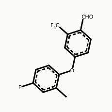 Cc1cc(F)ccc1Oc1ccc(C=O)c(C(F)(F)F)c1